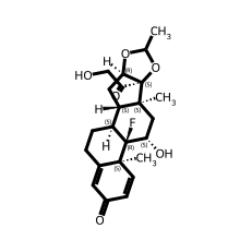 CC1O[C@@H]2C[C@H]3[C@@H]4CCC5=CC(=O)C=C[C@]5(C)[C@@]4(F)[C@@H](O)C[C@]3(C)[C@]2(C(=O)CO)O1